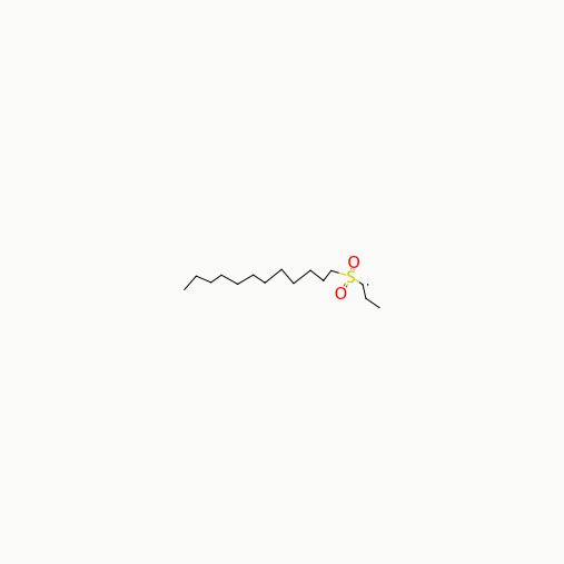 CC[CH]S(=O)(=O)CCCCCCCCCCCC